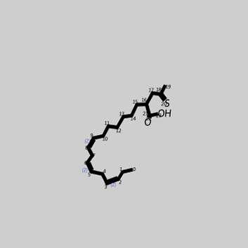 CC/C=C\C/C=C\C/C=C\CCCCCCC(CC(C)=S)C(=O)O